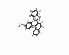 CC(C)c1ccc2c3c4ccccc4ccc3c3nc4ccccc4n3c2c1